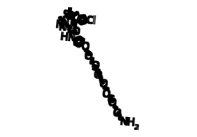 Cc1sc2c(c1C)C(c1ccc(Cl)cc1)=N[C@@H](CC(=O)Nc1ccc(OCCOCCOCCOCCOCCOCCOCCOCCN)cc1)c1nnc(C)n1-2